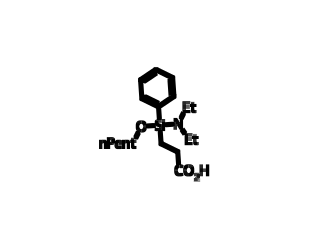 CCCCCO[Si](CCC(=O)O)(c1ccccc1)N(CC)CC